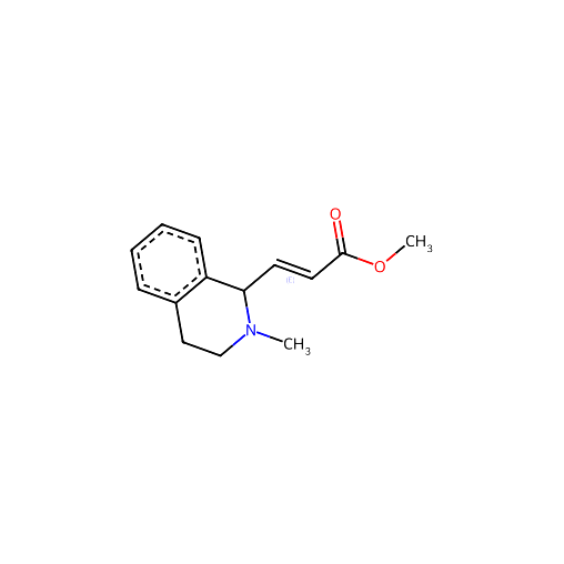 COC(=O)/C=C/C1c2ccccc2CCN1C